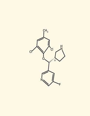 Cc1cc(Cl)c(OC(c2cncc(F)c2)[C@H]2CCNC2)c(Cl)c1